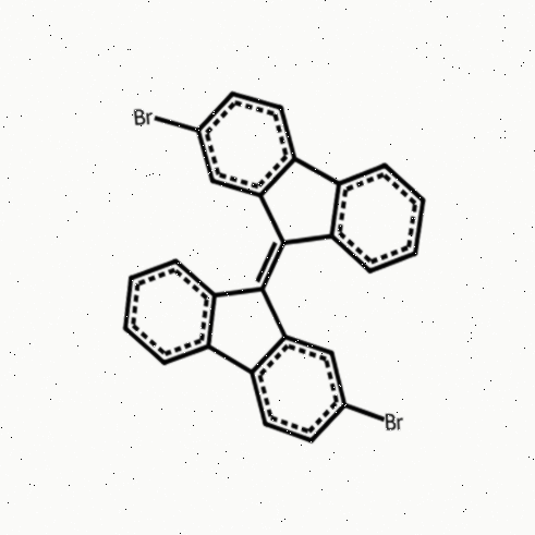 Brc1ccc2c(c1)/C(=C1\c3ccccc3-c3ccc(Br)cc31)c1ccccc1-2